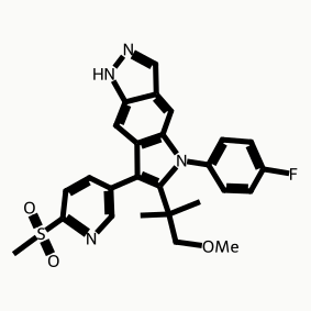 COCC(C)(C)c1c(-c2ccc(S(C)(=O)=O)nc2)c2cc3[nH]ncc3cc2n1-c1ccc(F)cc1